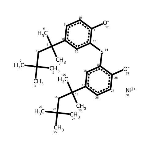 CC(C)(C)CC(C)(C)c1ccc([O-])c(Sc2cc(C(C)(C)CC(C)(C)C)ccc2[O-])c1.[Ni+2]